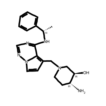 C[C@H](Nc1ncnn2ccc(CN3CC[C@@H](N)[C@H](O)C3)c12)c1ccccc1